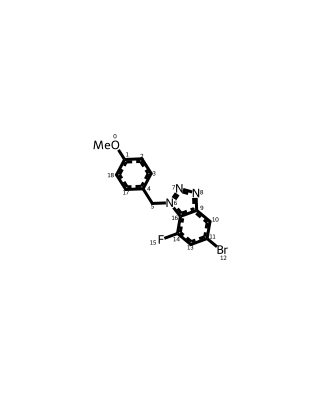 COc1ccc(Cn2nnc3cc(Br)cc(F)c32)cc1